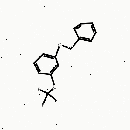 FC(F)(F)Oc1[c]ccc(OCc2ccccc2)c1